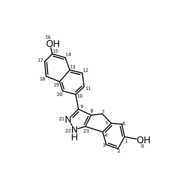 Oc1ccc2c(c1)Cc1c(-c3ccc4cc(O)ccc4c3)n[nH]c1-2